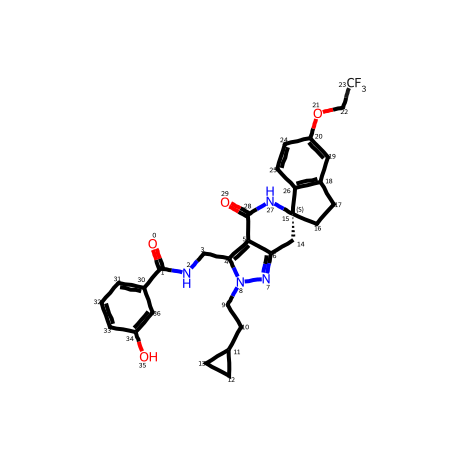 O=C(NCc1c2c(nn1CCC1CC1)C[C@]1(CCc3cc(OCC(F)(F)F)ccc31)NC2=O)c1cccc(O)c1